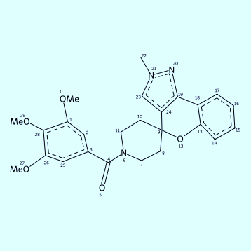 COc1cc(C(=O)N2CCC3(CC2)Oc2ccccc2-c2nn(C)cc23)cc(OC)c1OC